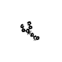 c1cncc(-c2cccc(-c3cc(-c4cccc(-c5cccnc5)c4)c4nn(-c5ccc(-c6cnc7ccccc7c6)cc5)nc4c3)c2)c1